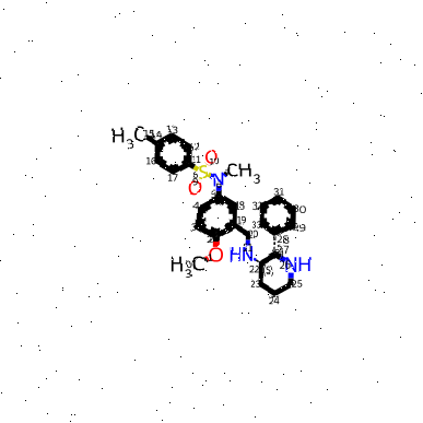 COc1ccc(N(C)S(=O)(=O)c2ccc(C)cc2)cc1CN[C@H]1CCCN[C@H]1c1ccccc1